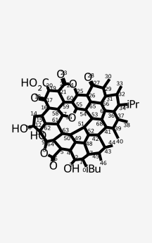 CCC(C)C1C(O)C2C3C(=O)OC4(O)C5C(O)CC6C7C(=O)C(C(=O)O)C8C(=O)OC9C%10C(=O)C(C)C%11C(C)C(C(C)C)C%12C(C)C(C)C%13C%14C(C)C(C)C1C1C2C2C(C%141)C1C(C%14OC(C7C8C9%14)C(C65)C2C34)C%10C%11C%12C%131